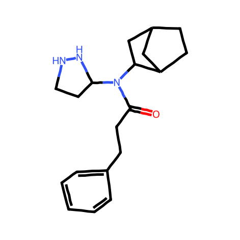 O=C(CCc1ccccc1)N(C1CCNN1)C1CC2CCC1C2